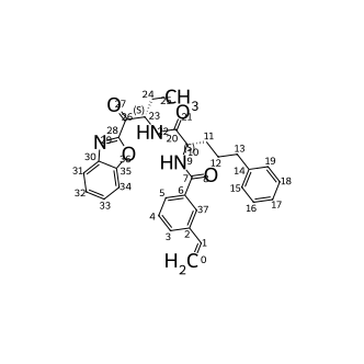 C=Cc1cccc(C(=O)N[C@@H](CCCc2ccccc2)C(=O)N[C@@H](CC)C(=O)c2nc3ccccc3o2)c1